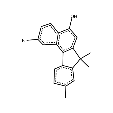 Cc1ccc2c(c1)C(C)(C)c1cc(O)c3ccc(Br)cc3c1-2